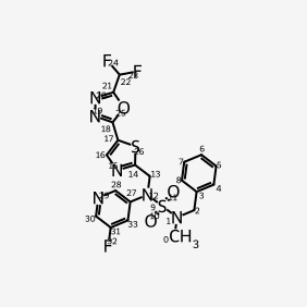 CN(Cc1ccccc1)S(=O)(=O)N(Cc1ncc(-c2nnc(C(F)F)o2)s1)c1cncc(F)c1